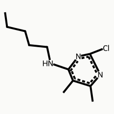 CCCCCNc1nc(Cl)nc(C)c1C